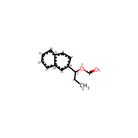 CCC(O[C]=O)c1ccc2ccccc2c1